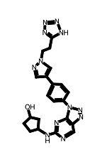 OC1CCC(Nc2ncc3nnn(-c4ccc(-c5cnn(CCc6nnn[nH]6)c5)cc4)c3n2)C1